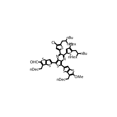 CCCCCCCCCCCc1c(C=O)sc2cc(-c3sc(-c4cc5sc(OC)c(CCCCCCCCCCC)c5s4)c4nc(-c5cc(Cl)c(CC(CCCC)CCCCCC)s5)c(-c5cc(Cl)c(CC(CCCC)CCCCCC)s5)nc34)sc12